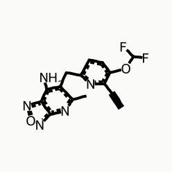 C#Cc1nc(Cc2c(C)nc3nonc3c2N)ccc1OC(F)F